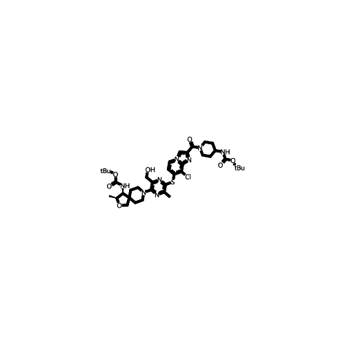 Cc1nc(N2CCC3(CC2)CO[C@@H](C)[C@H]3NC(=O)OC(C)(C)C)c(CO)nc1Sc1ccn2cc(C(=O)N3CCC(NC(=O)OC(C)(C)C)CC3)nc2c1Cl